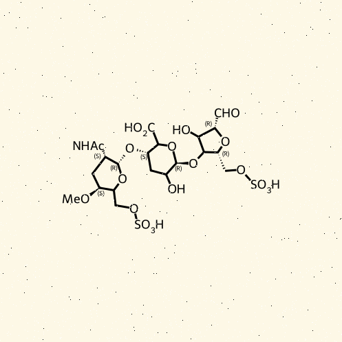 CO[C@H]1C[C@H](NC(C)=O)[C@H](O[C@H]2CC(O)[C@H](OC3C(O)[C@H](C=O)O[C@@H]3COS(=O)(=O)O)OC2C(=O)O)OC1COS(=O)(=O)O